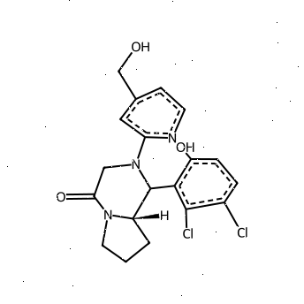 O=C1CN(c2cc(CO)ccn2)C(c2c(O)ccc(Cl)c2Cl)[C@@H]2CCCN12